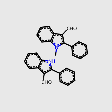 Cn1c(-c2ccccc2)c(C=O)c2ccccc21.O=Cc1c(-c2ccccc2)[nH]c2ccccc12